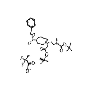 CC(C)(C)OC(=O)C[N+]1(CCNC(=O)OC(C)(C)C)CCC(C(=O)OCc2ccccc2)CC1.O=C([O-])C(F)(F)F